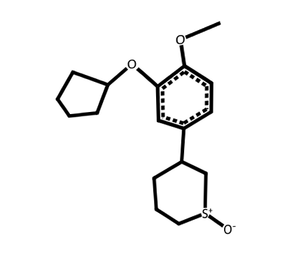 COc1ccc(C2CCC[S+]([O-])C2)cc1OC1CCCC1